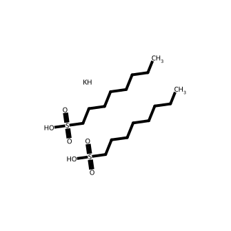 CCCCCCCCS(=O)(=O)O.CCCCCCCCS(=O)(=O)O.[KH]